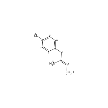 NC(=CC(=O)O)Cc1ccc(Cl)cc1